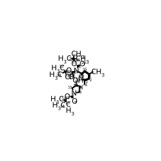 Cc1cc(C[C@@H]2CN(C(=O)OC(C)(C)C)C[C@H]2O)nc(N(C(=O)OC(C)(C)C)C(=O)OC(C)(C)C)c1